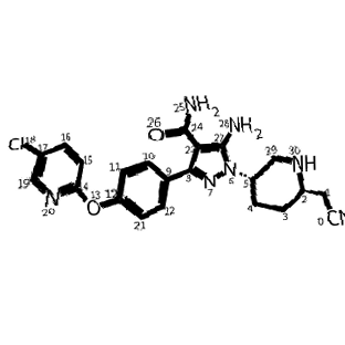 N#CC[C@H]1CC[C@H](n2nc(-c3ccc(Oc4ccc(Cl)cn4)cc3)c(C(N)=O)c2N)CN1